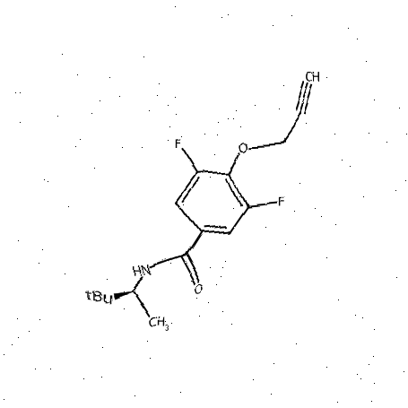 C#CCOc1c(F)cc(C(=O)N[C@@H](C)C(C)(C)C)cc1F